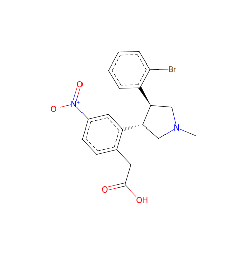 CN1C[C@H](c2ccccc2Br)[C@@H](c2cc([N+](=O)[O-])ccc2CC(=O)O)C1